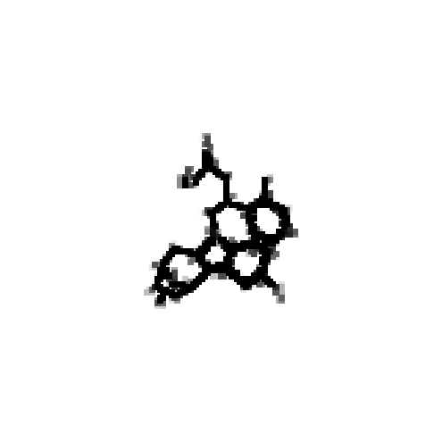 Cc1cnccc1C(CC(=O)O)Cn1c2c(c3cc(Cl)ccc31)C1CCC(C2)N1C